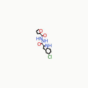 O=C(NNC(=O)c1ccco1)c1cc2cc(Cl)ccc2[nH]1